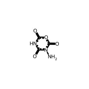 Nn1c(=O)[nH]c(=O)oc1=O